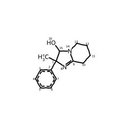 CC1(c2ccccc2)N=C2CCCCN2C1O